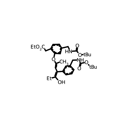 CCOC(=O)Cc1ccc(CNC(=O)OC(C)(C)C)cc1O/C(C)=C/C(=C(/O)CC)c1cccc(CNC(=O)OC(C)(C)C)c1